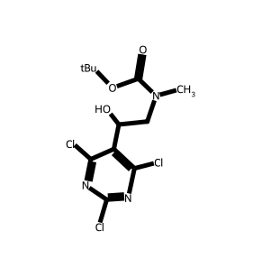 CN(CC(O)c1c(Cl)nc(Cl)nc1Cl)C(=O)OC(C)(C)C